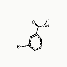 [CH2]NC(=O)c1cccc(Br)c1